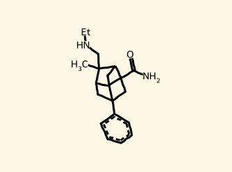 CCNCC1(C)C2CC3(c4ccccc4)CC1C(C(N)=O)(C2)C3